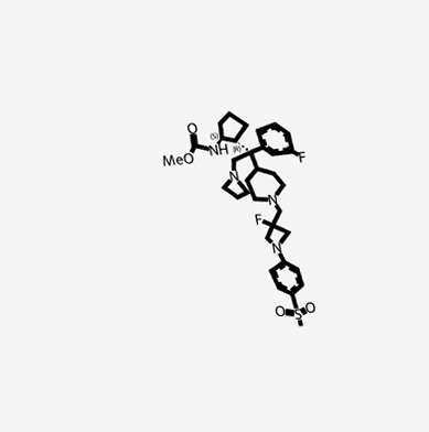 COC(=O)N[C@H]1CCC[C@@H]1C(CN1CCC1)(c1cccc(F)c1)C1CCN(CC2(F)CN(c3ccc(S(C)(=O)=O)cc3)C2)CC1